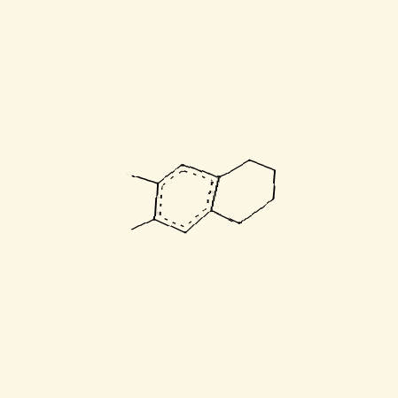 Fc1cc2c(cc1I)CCCC2